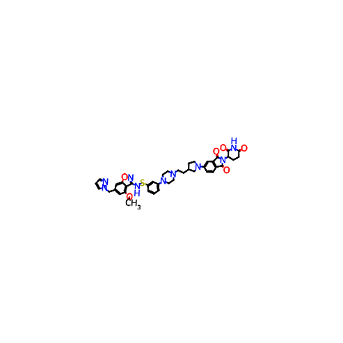 COc1cc(Cn2cccn2)cc2onc(NSc3cccc(N4CCN(CCC5CCN(c6ccc7c(c6)C(=O)N(C6CCC(=O)NC6=O)C7=O)C5)CC4)c3)c12